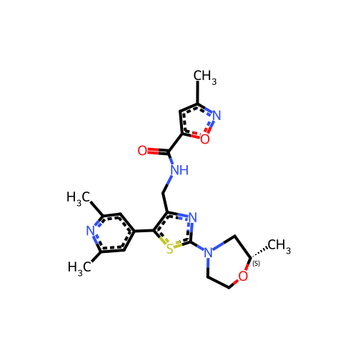 Cc1cc(C(=O)NCc2nc(N3CCO[C@@H](C)C3)sc2-c2cc(C)nc(C)c2)on1